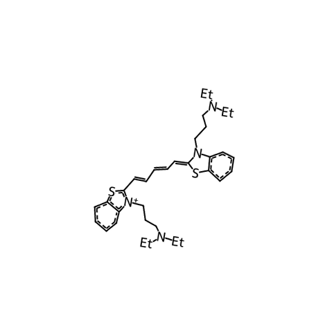 CCN(CC)CCCN1/C(=C/C=C/C=C/c2sc3ccccc3[n+]2CCCN(CC)CC)Sc2ccccc21